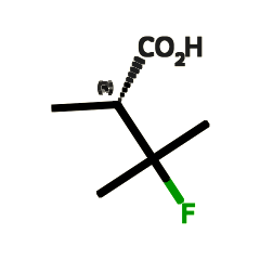 C[C@H](C(=O)O)C(C)(C)F